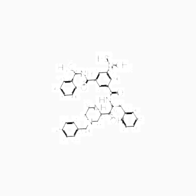 C[C@@H](NC(=O)c1cc(C(=O)N[C@@H](Cc2ccccc2)[C@H](O)C2CN(Cc3ccccc3)CCN2)cc(N(C)S)c1)c1ccccc1